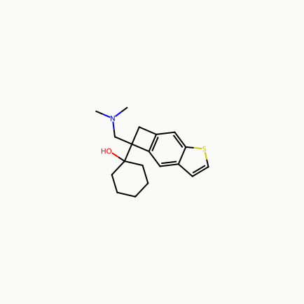 CN(C)CC1(C2(O)CCCCC2)Cc2cc3sccc3cc21